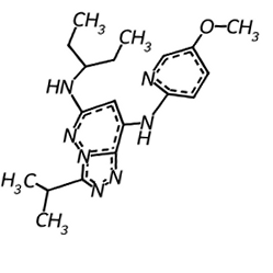 CCC(CC)Nc1cc(Nc2ccc(OC)cn2)c2nnc(C(C)C)n2n1